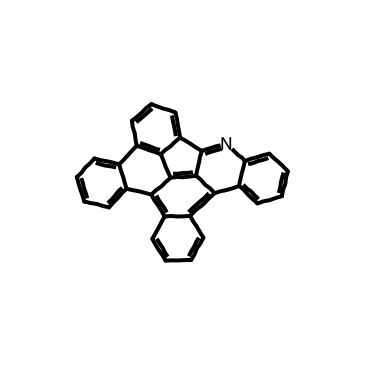 c1ccc2c(c1)nc1c3c2c2ccccc2c2c4ccccc4c4cccc-1c4c32